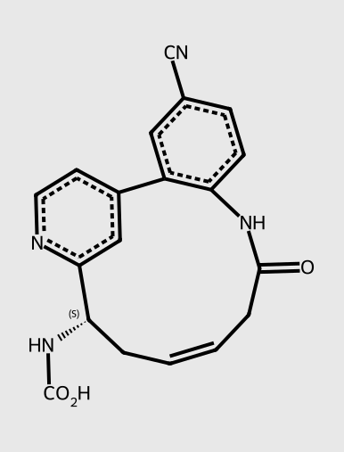 N#Cc1ccc2c(c1)-c1ccnc(c1)[C@@H](NC(=O)O)CC=CCC(=O)N2